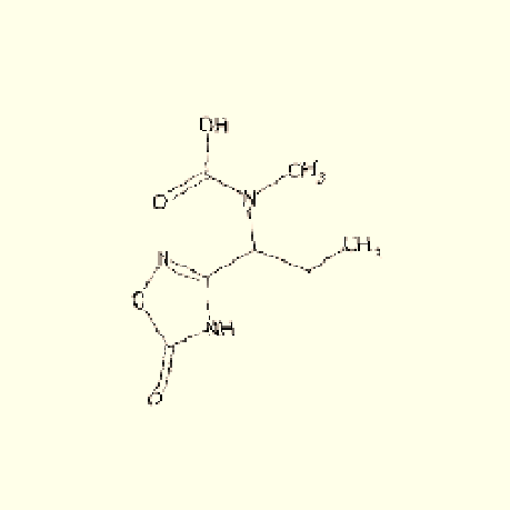 CCC(c1noc(=O)[nH]1)N(C)C(=O)O